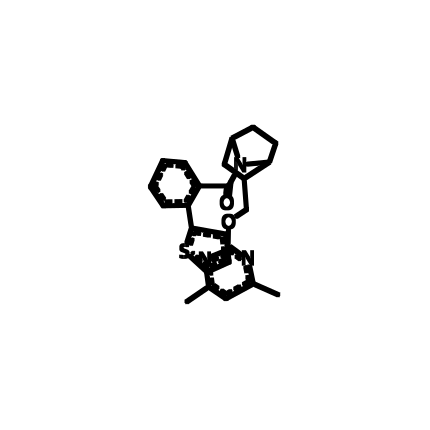 Cc1cc(C)nc(OCC2CC3CCC2N3C(=O)c2ccccc2-c2cccs2)n1